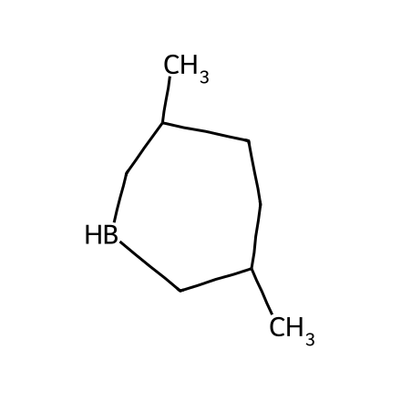 CC1CBCC(C)CC1